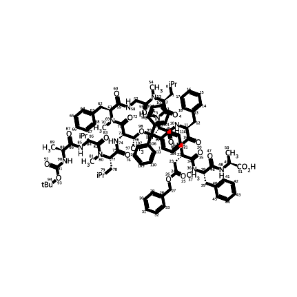 CC(C)C[C@@H](C(=O)N(C)[C@H](C(=O)N[C@@H](Cc1ccccc1)C(=O)N[C@@H](CC(=O)OCc1ccccc1)C(=O)N(C)[C@@H](Cc1ccccc1)C(=O)N[C@@H](C)C(=O)O)C(C)C)N(C)C(=O)CNC(=O)[C@H](Cc1ccccc1)N(C)C(=O)[C@@H](NC(=O)[C@H](CC(C)C)N(C)C(=O)[C@@H](NC(=O)[C@H](C)NC(=O)OC(C)(C)C)C(C)C)[C@@H](C)OC(c1ccccc1)(c1ccccc1)c1ccccc1